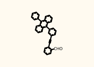 O=Cc1ccccc1C#Cc1cccc(-c2c3ccccc3c(-c3ccccc3)c3ccccc23)c1